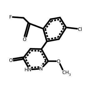 COc1n[nH]c(=O)cc1-c1cc(Cl)ccc1C(=O)CF